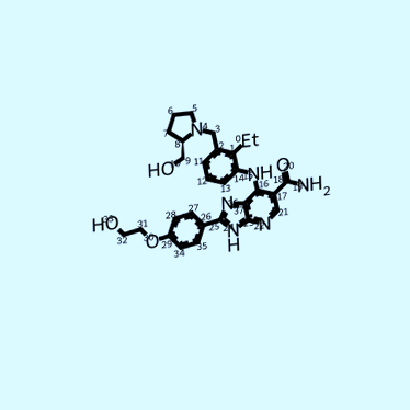 CCc1c(CN2CCC[C@@H]2CO)cccc1Nc1c(C(N)=O)cnc2[nH]c(-c3ccc(OCCO)cc3)nc12